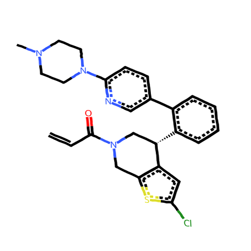 C=CC(=O)N1Cc2sc(Cl)cc2[C@@H](c2ccccc2-c2ccc(N3CCN(C)CC3)nc2)C1